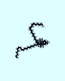 CCCCC/C=C\C/C=C\CCCCCCCCC1(CCCCCCCC/C=C\C/C=C\CCCCC)O[C@@H]2C3CN(C)CC3[C@@H]2O1